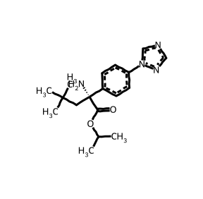 CC(C)OC(=O)[C@@](N)(CC(C)(C)C)c1ccc(-n2cncn2)cc1